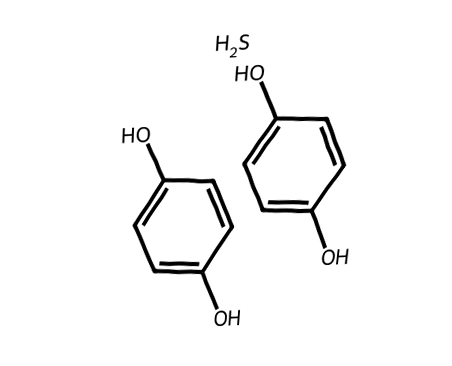 Oc1ccc(O)cc1.Oc1ccc(O)cc1.S